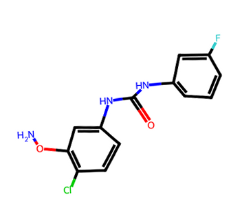 NOc1cc(NC(=O)Nc2cccc(F)c2)ccc1Cl